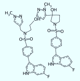 Cn1cc(CN(CCO)S(=O)(=O)c2ccc(-c3c[nH]c4cc(F)ccc34)cc2)cn1.Cn1nccc1C1(O)CCN(S(=O)(=O)c2ccc(-c3c[nH]c4cc(F)ccc34)cc2)C1